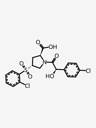 O=C(O)[C@@H]1C[C@@H](S(=O)(=O)c2ccccc2Cl)CN1C(=O)[C@H](O)c1ccc(Cl)cc1